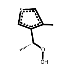 Cc1cscc1[C@@H](C)OO